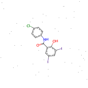 O=C(Nc1ccc(Cl)cc1)c1cc(I)cc(I)c1O